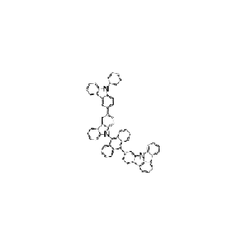 c1ccc(-n2c3ccccc3c3cc(-c4ccc5c(c4)c4ccccc4n5-c4c5ccccc5c(-c5ccc6c7cccc8c9ccccc9n(c6c5)c87)c5ccccc45)ccc32)cc1